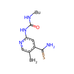 Bc1cnc(NC(=O)NC(C)CC)cc1C(N)=S